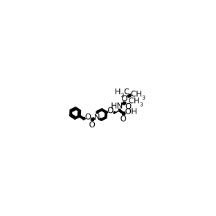 CC(C)(C)OC(=O)N[C@H](COC1CCN(C(=O)OCc2ccccc2)CC1)C(=O)O